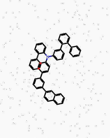 c1ccc(-c2ccccc2-c2cccc(N(c3ccc(-c4cccc(-c5ccc6ccccc6c5)c4)cc3)c3ccccc3-c3ccccc3)c2)cc1